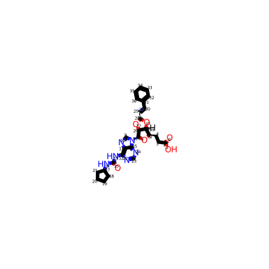 O=C(O)CC[C@H]1O[C@@H](n2cnc3c(NC(=O)NC4CCCC4)ncnc32)C2O[C@H](/C=C/c3ccccc3)O[C@H]21